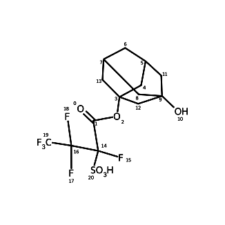 O=C(OC12CC3CC(CC(O)(C3)C1)C2)C(F)(C(F)(F)C(F)(F)F)S(=O)(=O)O